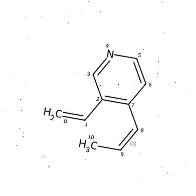 C=Cc1cnccc1/C=C\C